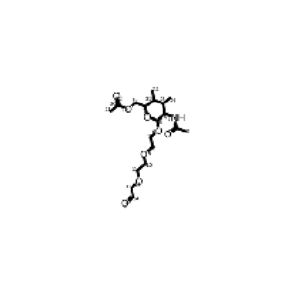 CC(=O)NC1C(OCCOCCOCC=O)OC(COC(C)=O)C(C)C1C